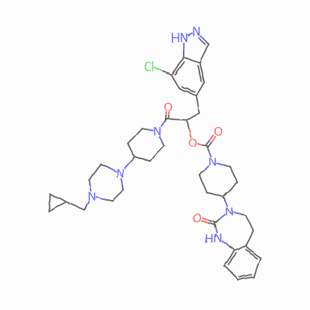 O=C(OC(Cc1cc(Cl)c2[nH]ncc2c1)C(=O)N1CCC(N2CCN(CC3CC3)CC2)CC1)N1CCC(N2CCc3ccccc3NC2=O)CC1